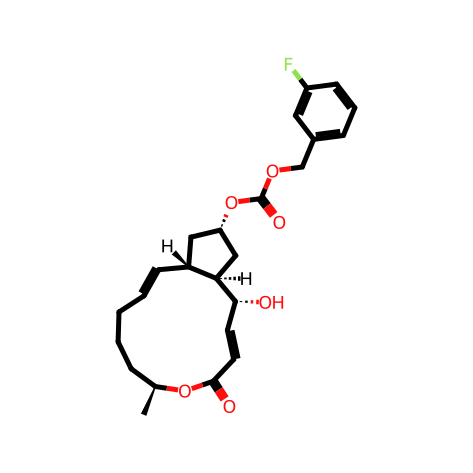 C[C@H]1CCC/C=C/[C@@H]2C[C@H](OC(=O)OCc3cccc(F)c3)C[C@H]2[C@H](O)/C=C/C(=O)O1